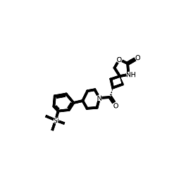 C[Si](C)(C)c1cccc(C2CCN(C(=O)[C@H]3C[C@]4(COC(=O)N4)C3)CC2)c1